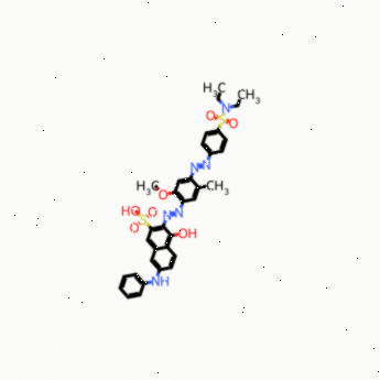 CCN(CC)S(=O)(=O)c1ccc(N=Nc2cc(OC)c(N=Nc3c(S(=O)(=O)O)cc4cc(Nc5ccccc5)ccc4c3O)cc2C)cc1